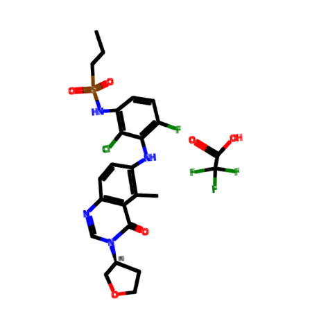 CCCS(=O)(=O)Nc1ccc(F)c(Nc2ccc3ncn([C@H]4CCOC4)c(=O)c3c2C)c1Cl.O=C(O)C(F)(F)F